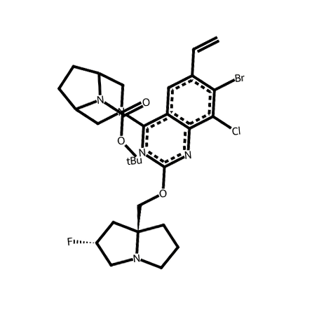 C=Cc1cc2c(N3CC4CCC(C3)N4C(=O)OC(C)(C)C)nc(OC[C@@]34CCCN3C[C@H](F)C4)nc2c(Cl)c1Br